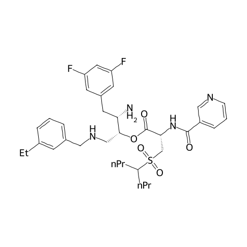 CCCC(CCC)S(=O)(=O)C[C@@H](NC(=O)c1cccnc1)C(=O)O[C@H](CNCc1cccc(CC)c1)[C@@H](N)Cc1cc(F)cc(F)c1